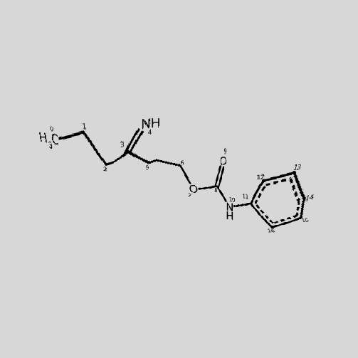 CCCC(=N)CCOC(=O)Nc1ccccc1